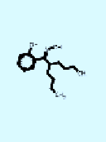 CCCCC(CCCC)C(=NO)c1ccccc1O